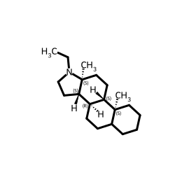 CCN1CC[C@H]2[C@@H]3CCC4CCCC[C@]4(C)[C@H]3CC[C@@]21C